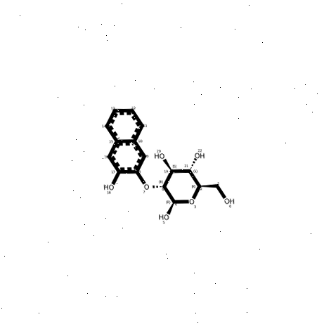 OC[C@H]1O[C@@H](O)[C@H](Oc2cc3ccccc3cc2O)[C@@H](O)[C@@H]1O